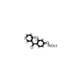 CCCCCCCCOc1ccc(C(=O)c2cccnc2)c(O)c1